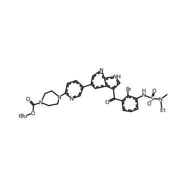 CCN(C)S(=O)(=O)Nc1cccc(C(=O)c2c[nH]c3ncc(-c4ccc(N5CCN(C(=O)OC(C)(C)C)CC5)nc4)cc23)c1Br